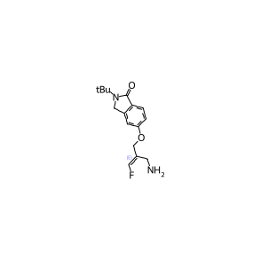 CC(C)(C)N1Cc2cc(OC/C(=C/F)CN)ccc2C1=O